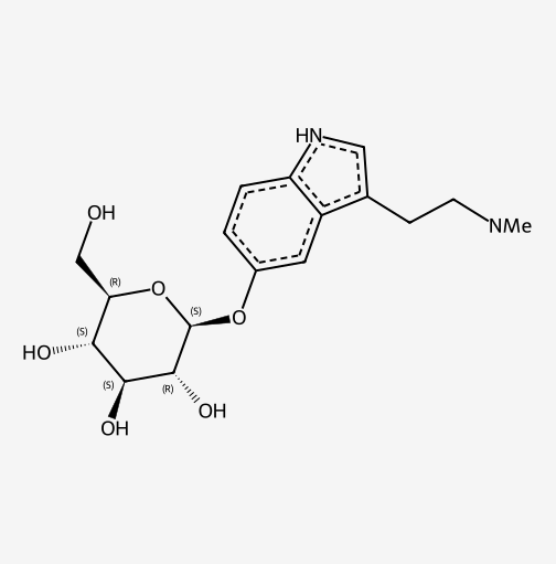 CNCCc1c[nH]c2ccc(O[C@@H]3O[C@H](CO)[C@@H](O)[C@H](O)[C@H]3O)cc12